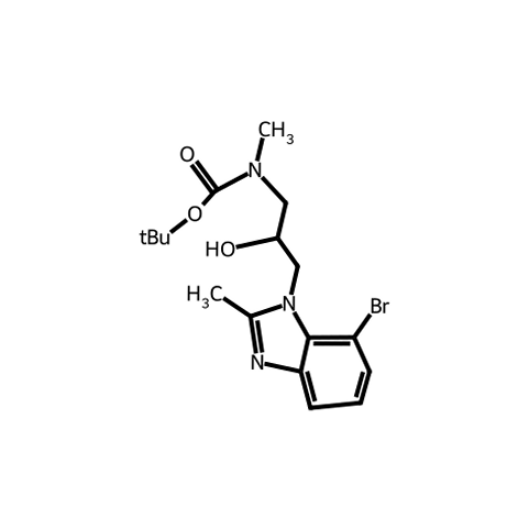 Cc1nc2cccc(Br)c2n1CC(O)CN(C)C(=O)OC(C)(C)C